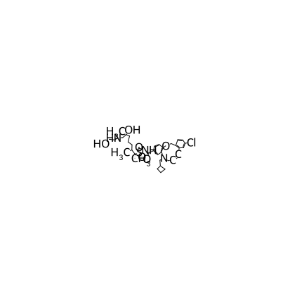 C[C@H]([C@@H](C)CCC[C@@](C)(O)CNCCO)S(=O)(=O)NC(=O)c1ccc2c(c1)N(CC1CCC1)CCCCc1cc(Cl)ccc1CO2